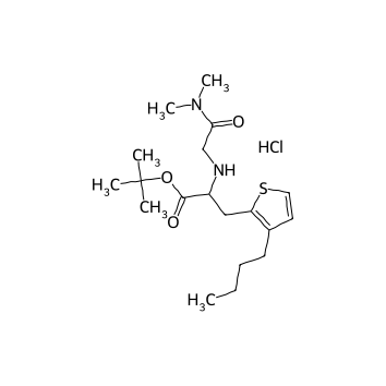 CCCCc1ccsc1CC(NCC(=O)N(C)C)C(=O)OC(C)(C)C.Cl